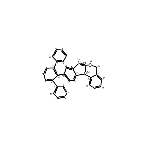 c1ccc(-c2cccc(-c3ccccc3)c2-c2ccc3c(c2)nc2n3-c3ccccc3CO2)cc1